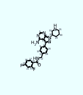 Nc1ncnc2c1c(-c1ccc(CNC(=O)c3ccc(F)cc3F)cc1)nn2[C@@H]1CCCNC1